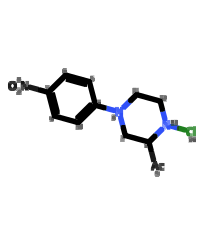 CC(=O)C1CN(c2ccc([N+](=O)[O-])cc2)CCN1Cl